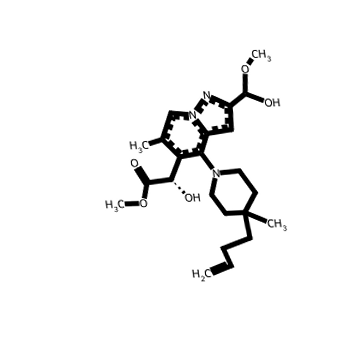 C=CCCC1(C)CCN(c2c([C@H](O)C(=O)OC)c(C)cn3nc(C(O)OC)cc23)CC1